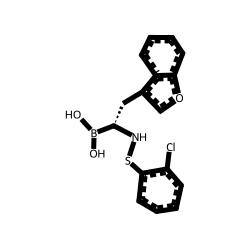 OB(O)[C@H](Cc1coc2ccccc12)NSc1ccccc1Cl